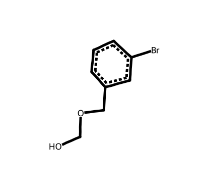 OCOCc1cccc(Br)c1